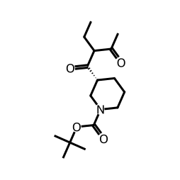 CCC(C(C)=O)C(=O)[C@@H]1CCCN(C(=O)OC(C)(C)C)C1